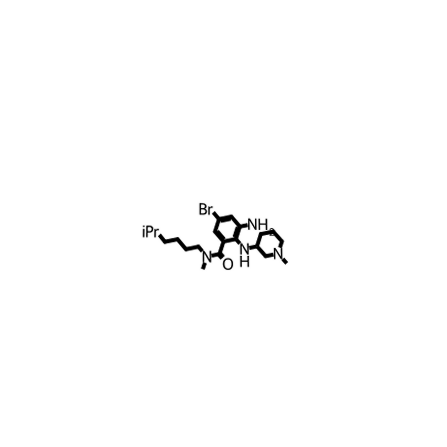 CC(C)CCCCN(C)C(=O)c1cc(Br)cc(N)c1NC1CCCN(C)C1